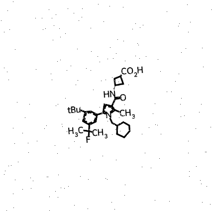 Cc1c(C(=O)N[C@H]2C[C@H](C(=O)O)C2)cc(-c2cc(C(C)(C)C)cc(C(C)(C)F)c2)n1CC1CCCCC1